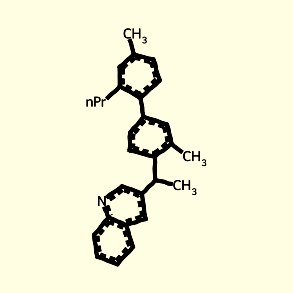 CCCc1cc(C)ccc1-c1ccc(C(C)c2cnc3ccccc3c2)c(C)c1